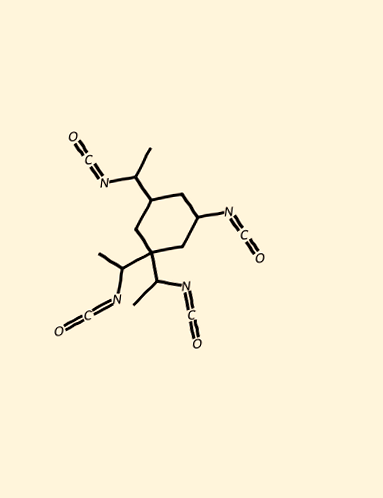 CC(N=C=O)C1CC(N=C=O)CC(C(C)N=C=O)(C(C)N=C=O)C1